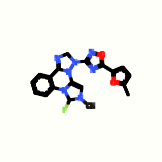 Cc1ccc(-c2nc(N3CN=C4c5ccccc5N5C(=CN(C#N)C5F)N43)no2)o1